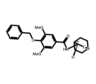 COc1cc(C(=O)N[C@H]2CN3CCC2CC3)cc(OC)c1OCc1ccccc1